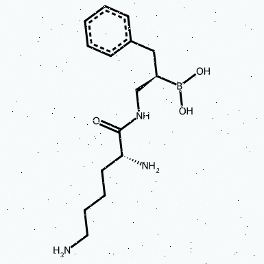 NCCCC[C@@H](N)C(=O)NC[C@@H](Cc1ccccc1)B(O)O